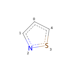 c1cnsc1